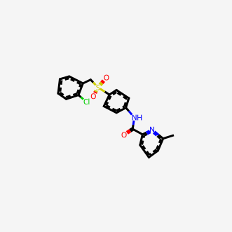 Cc1cccc(C(=O)Nc2ccc(S(=O)(=O)Cc3ccccc3Cl)cc2)n1